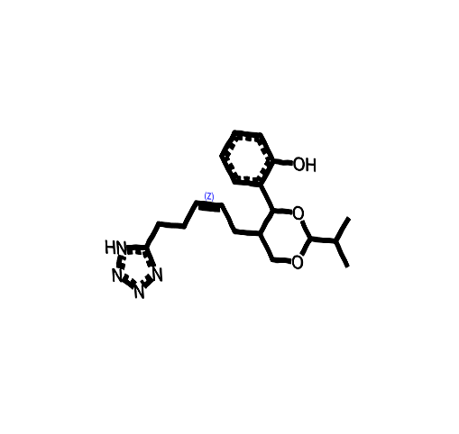 CC(C)C1OCC(C/C=C\CCc2nnn[nH]2)C(c2ccccc2O)O1